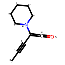 [CH2]C#CC(=C=O)N1CCCCC1